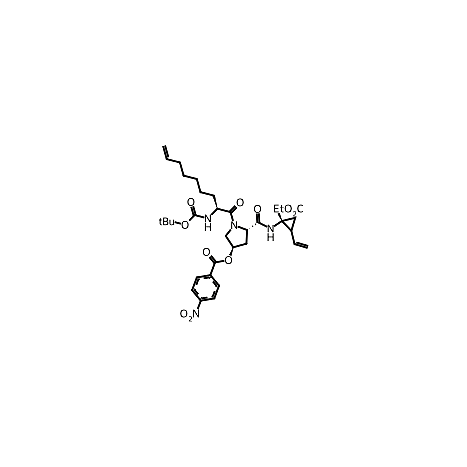 C=CCCCCC[C@H](NC(=O)OC(C)(C)C)C(=O)N1C[C@H](OC(=O)c2ccc([N+](=O)[O-])cc2)C[C@H]1C(=O)N[C@]1(C(=O)OCC)CC1C=C